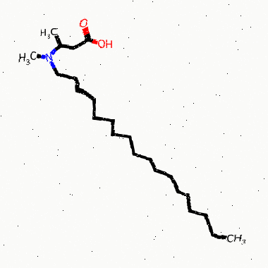 CCCCCCCCCCCCCCCCCCN(C)C(C)CC(=O)O